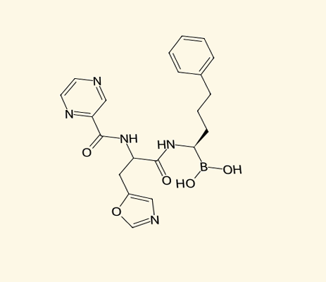 O=C(NC(Cc1cnco1)C(=O)N[C@@H](CCCc1ccccc1)B(O)O)c1cnccn1